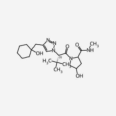 CNC(=O)C1CC(O)CN1C(=O)[C@@H](n1cc(CC2(O)CCCCC2)nn1)C(C)(C)C